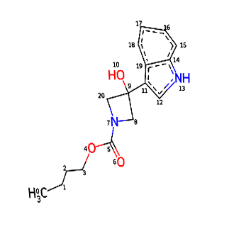 CCCCOC(=O)N1CC(O)(c2c[nH]c3ccccc23)C1